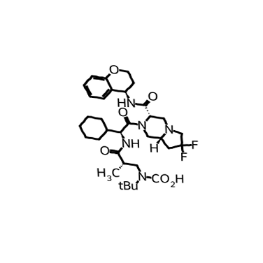 C[C@@H](CN(C(=O)O)C(C)(C)C)C(=O)N[C@H](C(=O)N1C[C@H]2CC(F)(F)CN2C[C@H]1C(=O)N[C@@H]1CCOc2ccccc21)C1CCCCC1